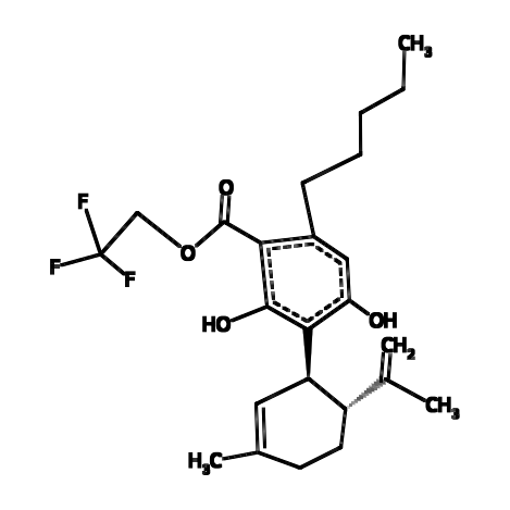 C=C(C)[C@@H]1CCC(C)=C[C@H]1c1c(O)cc(CCCCC)c(C(=O)OCC(F)(F)F)c1O